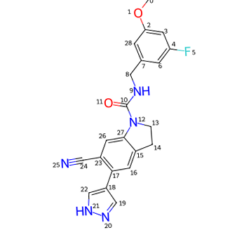 COc1cc(F)cc(CNC(=O)N2CCc3cc(-c4cn[nH]c4)c(C#N)cc32)c1